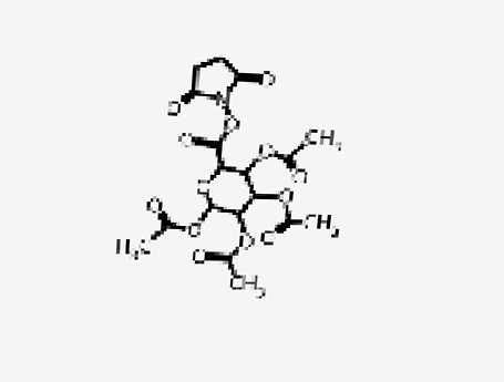 CC(=O)OC1OC(C(=O)ON2C(=O)CCC2=O)C(OC(C)=O)C(OC(C)=O)C1OC(C)=O